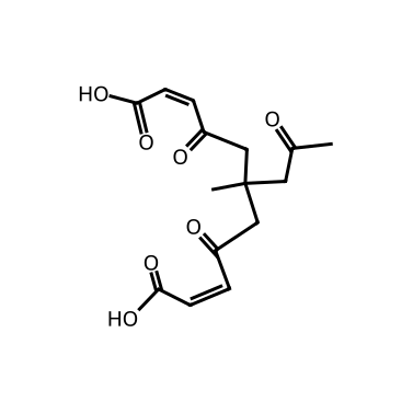 CC(=O)CC(C)(CC(=O)/C=C\C(=O)O)CC(=O)/C=C\C(=O)O